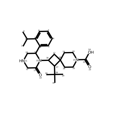 CC(C)c1ccccc1C1CNCC(=O)N1C1CC2(CCN(C(=O)O)CC2)C1C(C)(C)C